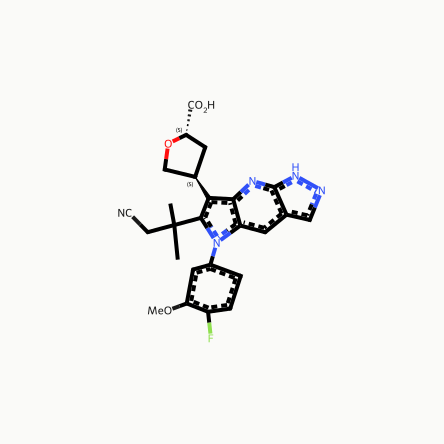 COc1cc(-n2c(C(C)(C)CC#N)c([C@H]3CO[C@H](C(=O)O)C3)c3nc4[nH]ncc4cc32)ccc1F